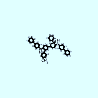 Cc1ccc(-c2cc(C3CC=C(NC4C=CC(c5ccccc5)=CC4)C(I)(C4=CCCC=C4)C3)ccc2Nc2ccc(-c3ccccc3)cc2)cc1